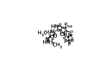 Cc1cc(C(C)NC(=O)c2[nH]cc(C3(c4ccc(C(F)(F)F)nc4)CC3)c2C)n[nH]1